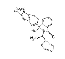 C[C@H](c1ccccc1)N1C(=O)c2ccccc2C1(O)c1ccc2[nH]c(NC(=O)O)nc2c1